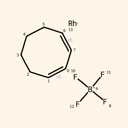 C1=C\CCCC\C=C/1.F[B-](F)(F)F.[Rh]